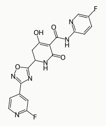 O=C(Nc1ccc(F)cn1)C1=C(O)CC(c2nc(-c3ccnc(F)c3)no2)NC1=O